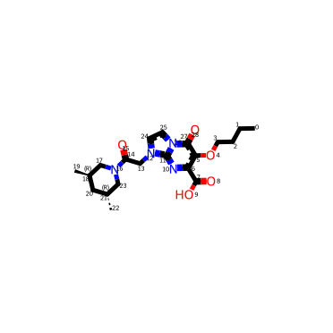 CCCCOc1c(C(=O)O)nc2n(CC(=O)N3C[C@H](C)C[C@@H](C)C3)ccn2c1=O